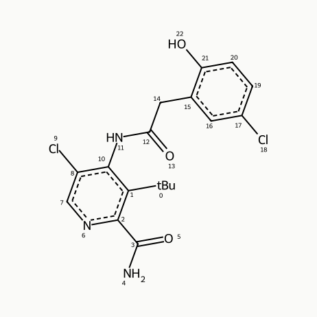 CC(C)(C)c1c(C(N)=O)ncc(Cl)c1NC(=O)Cc1cc(Cl)ccc1O